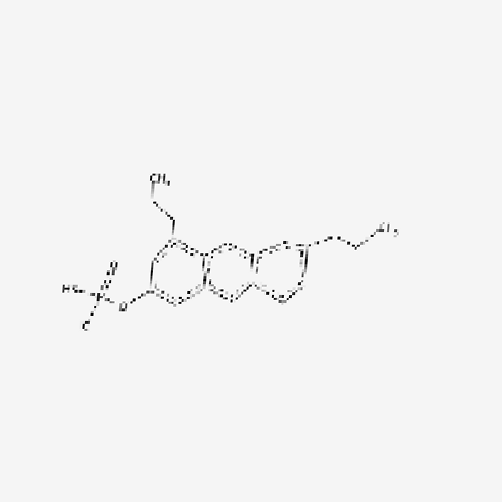 CCCc1ccc2cc3cc(OP(=O)(O)S)cc(CCC)c3cc2c1